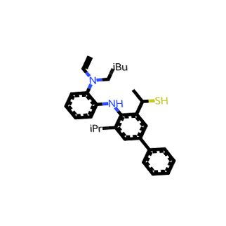 C=CN(CC(C)CC)c1ccccc1Nc1c(C(C)C)cc(-c2ccccc2)cc1C(C)S